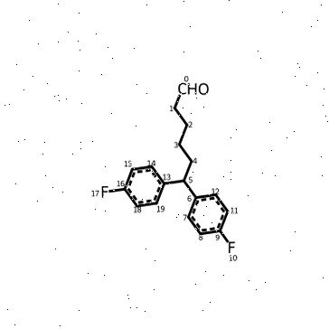 O=CCCCCC(c1ccc(F)cc1)c1ccc(F)cc1